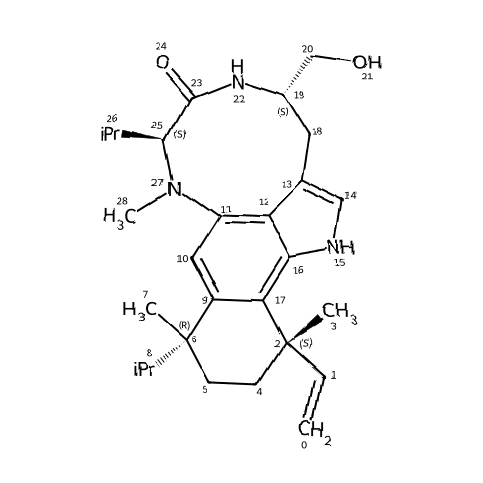 C=C[C@]1(C)CC[C@](C)(C(C)C)c2cc3c4c(c[nH]c4c21)C[C@@H](CO)NC(=O)[C@H](C(C)C)N3C